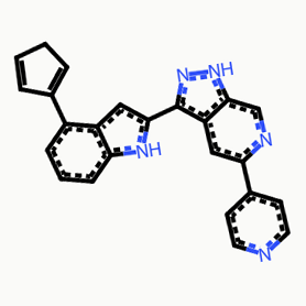 C1=CC(c2cccc3[nH]c(-c4n[nH]c5cnc(-c6ccncc6)cc45)cc23)=CC1